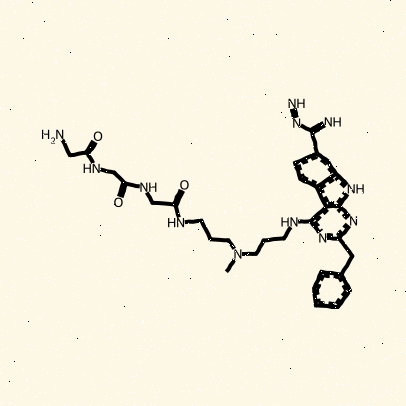 CN(CCCNC(=O)CNC(=O)CNC(=O)CN)CCCNc1nc(Cc2ccccc2)nc2[nH]c3cc(C(=N)N=N)ccc3c12